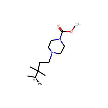 CC(=O)[C@@H](C)C(C)(C)CCN1CCN(C(=O)OC(C)(C)C)CC1